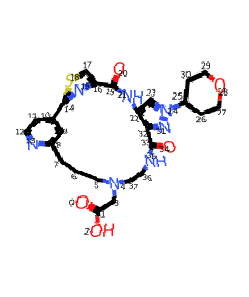 O=C(O)CN1CCCc2cc(ccn2)-c2nc(cs2)C(=O)Nc2cn(C3CCOCC3)nc2C(=O)NCC1